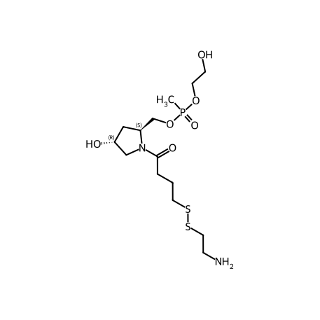 CP(=O)(OCCO)OC[C@@H]1C[C@@H](O)CN1C(=O)CCCSSCCN